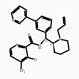 C=CCN1CCCC[C@H]1[C@@H](NC(=O)c1nccc(C(F)(F)F)c1Cl)c1cccc(-c2cccnc2)c1